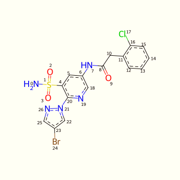 NS(=O)(=O)c1cc(NC(=O)Cc2ccccc2Cl)cnc1-n1cc(Br)cn1